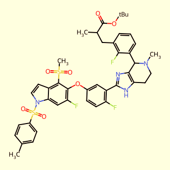 Cc1ccc(S(=O)(=O)n2ccc3c(S(C)(=O)=O)c(Oc4ccc(F)c(-c5nc6c([nH]5)CCN(C)C6c5cccc(CC(C)C(=O)OC(C)(C)C)c5F)c4)c(F)cc32)cc1